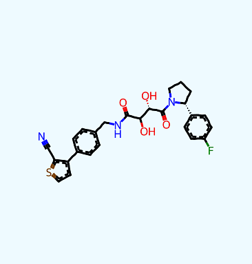 N#Cc1sccc1-c1ccc(CNC(=O)C(O)[C@H](O)C(=O)N2CCC[C@@H]2c2ccc(F)cc2)cc1